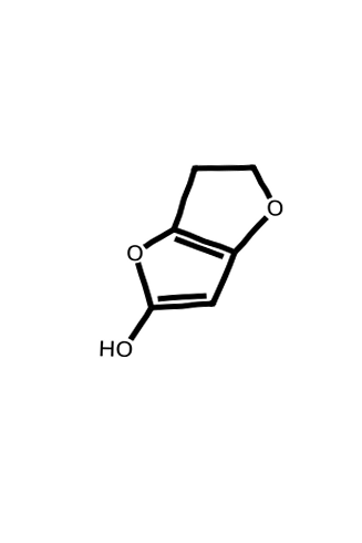 Oc1cc2c(o1)CCO2